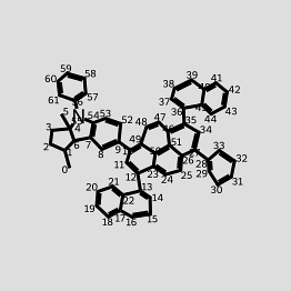 CC1CCC2(C)C1c1cc(-c3cc(-c4cccc5ccccc45)c4ccc5c(-c6ccccc6)cc(-c6cccc7ccccc67)c6ccc3c4c56)ccc1N2c1ccccc1